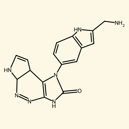 NCc1cc2cc(-n3c4c([nH]c3=O)N=NC3NC=CC43)ccc2[nH]1